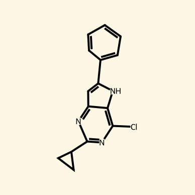 Clc1nc(C2CC2)nc2cc(-c3ccccc3)[nH]c12